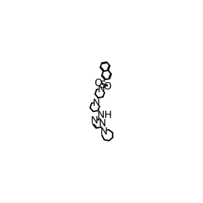 O=S(=O)(c1ccc2ccccc2c1)N1CCC(N2CCCC(Nc3nccc(N4CCCCCC4)n3)C2)CC1